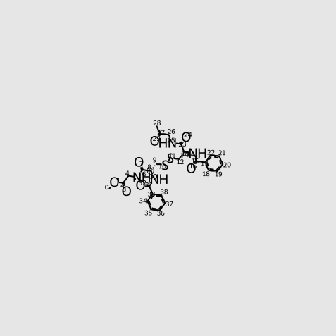 COC(=O)CNC(=O)[C@H](CSSC[C@H](NC(=O)c1ccccc1)C(=O)NCC(C)=O)NC(=O)c1ccccc1